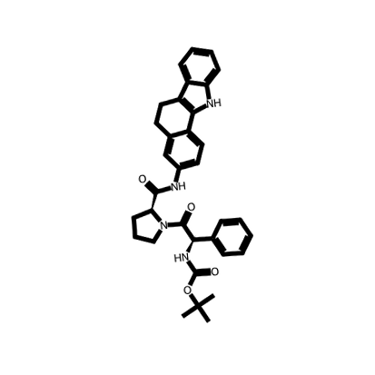 CC(C)(C)OC(=O)N[C@@H](C(=O)N1CCC[C@H]1C(=O)Nc1ccc2c(c1)CCc1c-2[nH]c2ccccc12)c1ccccc1